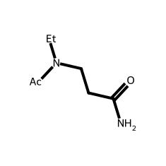 CCN(CCC(N)=O)C(C)=O